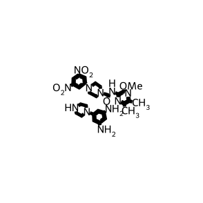 COc1nc(C)c(C)nc1NC(=O)N1CCN(c2cc([N+](=O)[O-])cc([N+](=O)[O-])c2)CC1.Nc1cc(N)cc(N2CCNCC2)c1